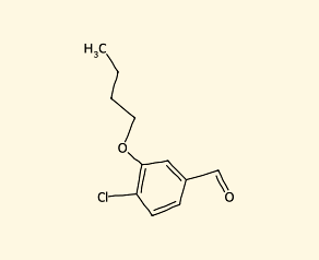 CCCCOc1cc(C=O)ccc1Cl